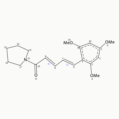 COc1cc(OC)c(/C=C/C=C/C(=O)N2CCCCC2)c(OC)c1